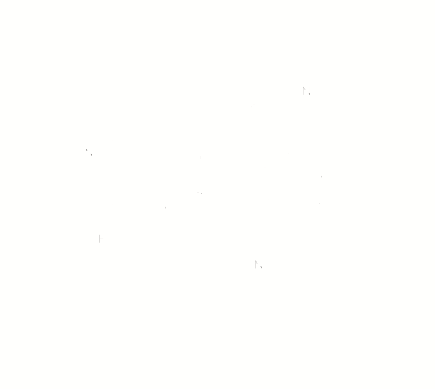 CC(=O)C1=C(C)N(C)C(C)=C(C(=O)Oc2ccncc2F)C1c1csc2ncccc12